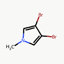 Cn1cc(Br)c(Br)c1